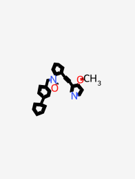 COc1ccncc1C#Cc1ccccc1N(C=O)Cc1ccc(-c2ccccc2)cc1